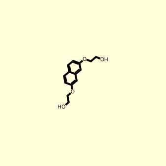 OCCOc1ccc2ccc(OCCO)cc2c1